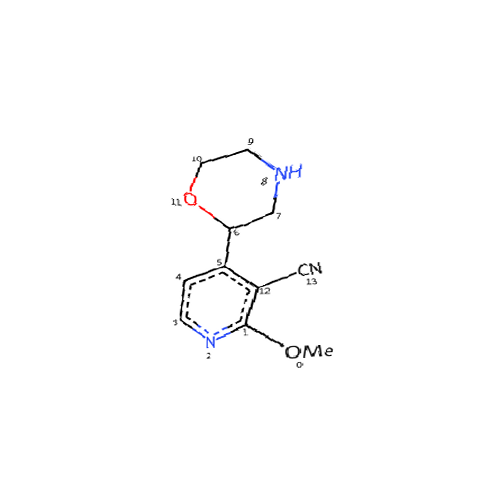 COc1nccc(C2CNCCO2)c1C#N